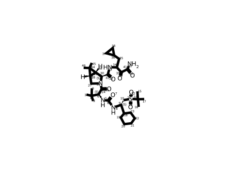 CC(C)(C)[C@H](NC(=O)N[C@H](CS(=O)(=O)C(C)(C)C)C1CCCCC1)C(=O)N1C[C@H]2[C@@H]([C@H]1C(=O)NC(CC1CC1)C(=O)C(N)=O)C2(C)C